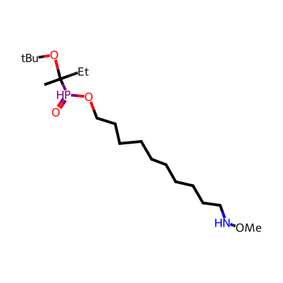 CCC(C)(OC(C)(C)C)[PH](=O)OCCCCCCCCCCNOC